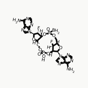 BP1(=O)OC[C@H]2O[C@@H](n3cnc4c(N)ncnc43)[C@H](OP(=O)(O)OC[C@H]3O[C@@H](n4cnc5c(N)ncnc54)[C@H](F)[C@@H]3O1)[C@H]2F